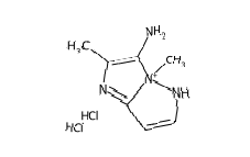 CC1=C(N)[N+]2(C)NC=CC2=N1.Cl.Cl